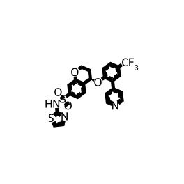 O=S(=O)(Nc1nccs1)c1ccc2c(c1)OCC[C@H]2Oc1ccc(C(F)(F)F)cc1-c1ccncc1